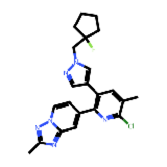 Cc1nc2cc(-c3nc(Cl)c(C)cc3-c3cnn(CC4(F)CCCC4)c3)ccn2n1